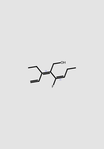 C=C/C(CC)=C(CO)\C(F)=C/CC